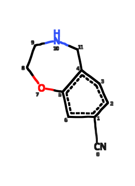 N#Cc1ccc2c(c1)OCCNC2